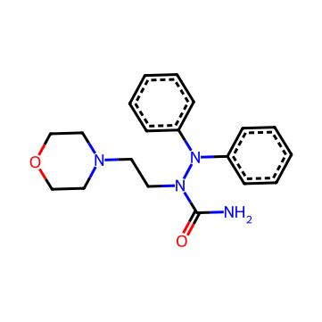 NC(=O)N(CCN1CCOCC1)N(c1ccccc1)c1ccccc1